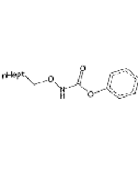 CCCCCCCCONC(=O)Oc1ccccc1